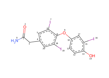 NC(=O)Cc1cc(I)c(Oc2ccc(O)c(I)c2)c(I)c1